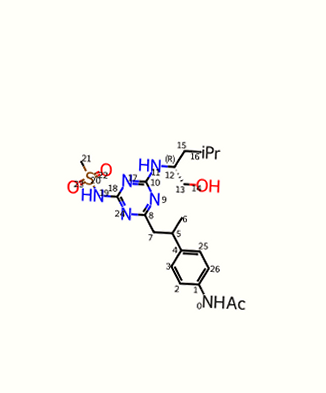 CC(=O)Nc1ccc(C(C)Cc2nc(N[C@@H](CO)CC(C)C)nc(NS(C)(=O)=O)n2)cc1